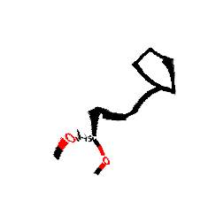 CO[SiH](C=CC1CCCC1)OC